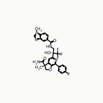 Cn1cnc2cc(C(=O)NC[C@](O)(c3cc4c(c(-c5ccc(F)cc5)n3)OC[C@]4(C)C(N)=O)C(F)(F)F)ccc21